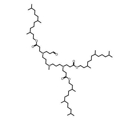 CC(C)CCCC(C)CCCC(C)CCOC(=O)CCN(CCC=O)CCCN(C)CCCN(CCC(=O)OCCC(C)CCCC(C)CCCC(C)C)CCC(=O)OCCC(C)CCCC(C)CCCC(C)C